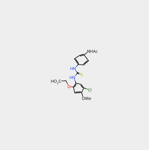 COc1cc(OCC(=O)O)c(NC(=S)Nc2ccc(NC(C)=O)cc2)cc1Cl